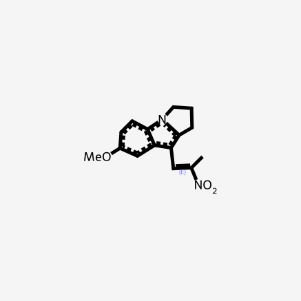 COc1ccc2c(c1)c(/C=C(\C)[N+](=O)[O-])c1n2CCC1